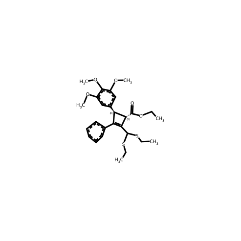 CCOC(=O)[C@@H]1C(C(SCC)SCC)=C(c2ccccc2)[C@H]1c1cc(OC)c(OC)c(OC)c1